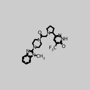 Cn1c(N2CCN(C(=O)CN3CCCC3c3cc(C(F)(F)F)c(=O)[nH]n3)CC2)nc2ccccc21